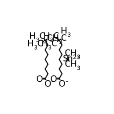 CC(C)(C)CCCCCCCC(=O)[O-].CC(C)(C)CCCCCCCC(=O)[O-].[CH3][Sn+2][CH3]